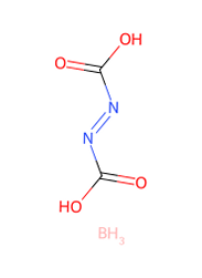 B.O=C(O)N=NC(=O)O